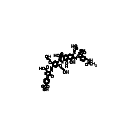 CC(=O)Nc1ccc(/N=N/c2c(SOOO)cc3cc(S(=O)(=O)O)c(/N=N/c4cc(OCCO)c(/N=N/C5C(=O)N(c6ccc(S(=O)(=O)O)cc6)N=C5C(=O)O)cc4OCCO)c(O)c3c2O)c(S(=O)(=O)O)c1